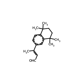 CC(=CC=O)c1ccc2c(c1)C(C)(C)CCC2(C)C